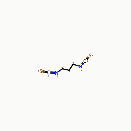 S=C=NCCCN=C=S